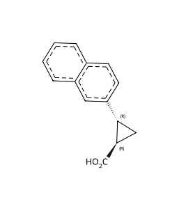 O=C(O)[C@@H]1C[C@H]1c1ccc2ccccc2c1